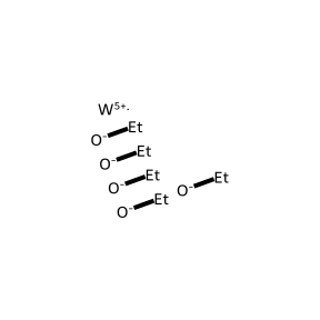 CC[O-].CC[O-].CC[O-].CC[O-].CC[O-].[W+5]